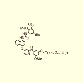 COc1cc(Nc2cc(Oc3ccc(NC(=O)Nc4cc(C(C)(C)C)cc([S+](C)[O-])c4OC)c4ccccc34)ccn2)cc(OCCOCCOCC(=O)O)c1